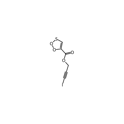 O=C(OCC#CI)C1=CSOO1